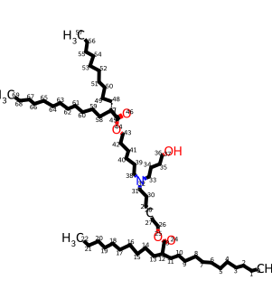 CCCCCCCCCCCCC(CCCCCCCCCC)C(=O)OCCCCCCN(CCCCO)CCCCCCOC(=O)[C@@H](CCCCCCCCCC)CCCCCCCCCCCC